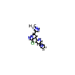 Cn1cc(-c2cc(-c3ccc(N4C5CCC4CC5)cn3)c3c(Cl)cnn3c2)cn1